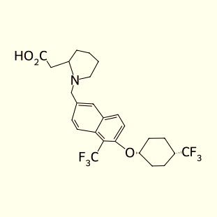 O=C(O)CC1CCCCN1Cc1ccc2c(C(F)(F)F)c(O[C@H]3CC[C@@H](C(F)(F)F)CC3)ccc2c1